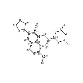 CCCN(CC(C)C)C(=O)Cn1c(=O)c(C2CCCC2)cc2ccc(OC)cc21